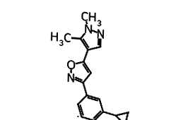 Cc1c(-c2cc(-c3c[c]cc(C4CC4)c3)no2)cnn1C